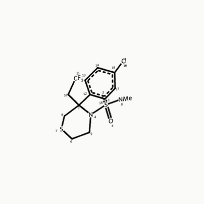 CNS(=O)(=O)N1CCSCC1(CC(F)(F)F)c1ccc(Cl)cc1